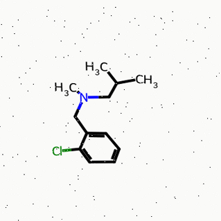 CC(C)CN(C)Cc1ccccc1Cl